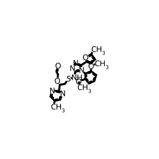 COc1cccc(OC)c1-n1c(NSCC(OCC=O)c2ncc(C)cn2)nnc1-c1ccc(C)o1